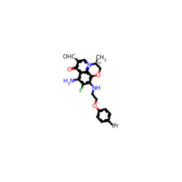 CC(C)c1ccc(OCCNc2c(F)c(N)c3c(=O)c(C=O)cn4c3c2OC[C@@H]4C)cc1